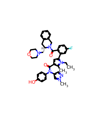 CCn1c(-c2cc(F)ccc2C(=O)N2Cc3ccccc3C[C@H]2CN2CCOCC2)cc(C(=O)N(c2ccc(O)cc2)c2cnn(C)c2)c1C